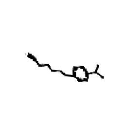 [C]#CCCCCCc1ccc(C(C)C)cc1